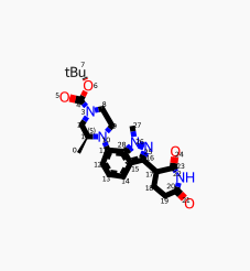 C[C@H]1CN(C(=O)OC(C)(C)C)CCN1c1cccc2c(C3CCC(=O)NC3=O)nn(C)c12